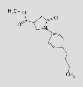 CCCCc1ccc(N2CC(C(=O)OC)CC2=O)cc1